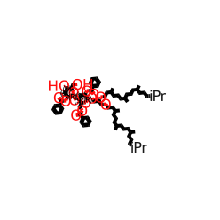 CC(C)CCCC(C)CCCC(C)CCCC(C)CCOCC(CO[C@@H]1OC(COC(=O)c2ccccc2)[C@@H](O[C@@H]2OC(CO)[C@H](O)[C@H](C)C2OC(=O)c2ccccc2)[C@H](C)C1OC(=O)c1ccccc1)OCCC(C)CCCC(C)CCCC(C)CCCC(C)C